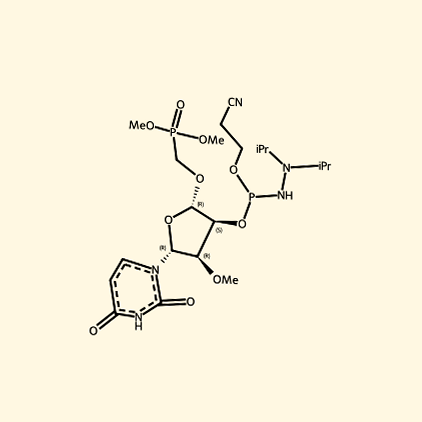 CO[C@@H]1[C@H](OP(NN(C(C)C)C(C)C)OCCC#N)[C@@H](OCP(=O)(OC)OC)O[C@H]1n1ccc(=O)[nH]c1=O